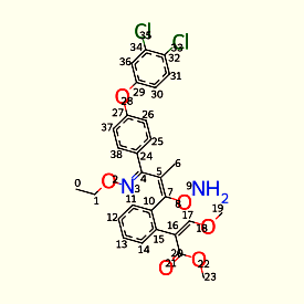 CCON=C(C(C)=C(ON)c1ccccc1C(=COC)C(=O)OC)c1ccc(Oc2ccc(Cl)c(Cl)c2)cc1